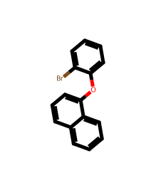 Brc1ccccc1Oc1cccc2ccccc12